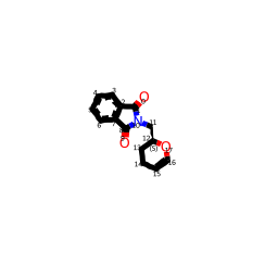 O=C1c2ccccc2C(=O)N1C[C@@H]1CCC=CO1